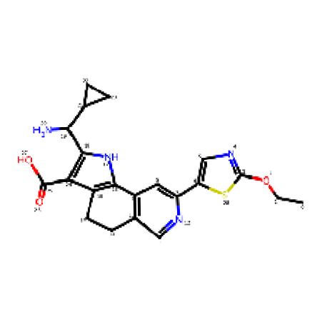 CCOc1ncc(-c2cc3c(cn2)CCc2c-3[nH]c(C(N)C3CC3)c2C(=O)O)s1